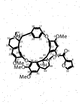 COc1cc(NC(=O)c2ccco2)c2cc1Oc1ccc(cc1)C[C@H]1c3cc(c(OC)cc3CCN1C)Oc1c(OC)c(OC)cc3c1[C@H](C2)N(C)CC3